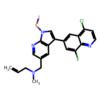 C=CCN(C)Cc1cnc2c(c1)c(-c1cc(F)c3nccc(Cl)c3c1)cn2SI